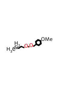 COc1ccc(COCOCCC[SiH2]C)cc1